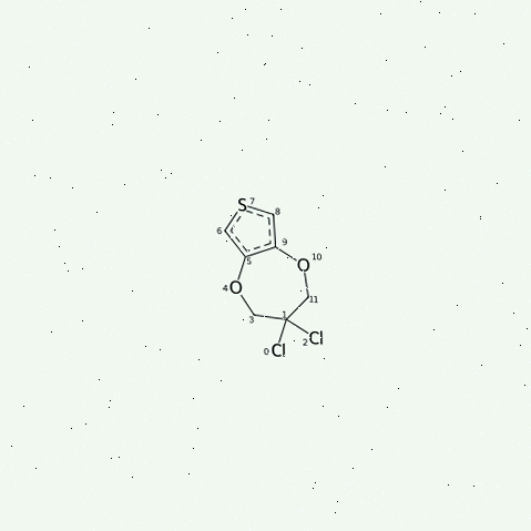 ClC1(Cl)COc2cscc2OC1